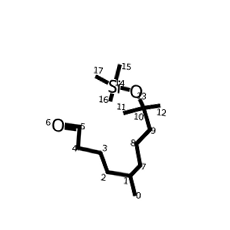 CC(CCCC=O)CCCC(C)(C)O[Si](C)(C)C